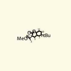 CO/N=C(\C)c1cc2cc(C(C)(C)C)ccc2oc1=O